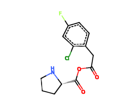 O=C(Cc1ccc(F)cc1Cl)OC(=O)[C@@H]1CCCN1